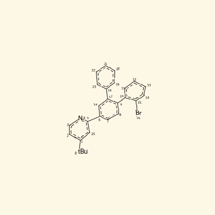 CC(C)(C)c1ccnc(-c2ccc(-c3ccccc3Br)c(-c3ccccc3)c2)c1